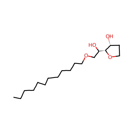 CCCCCCCCCCCCOCC(O)[C@H]1OCC[C@H]1O